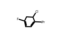 CC(C)C1=CC=C(F)CC1Cl